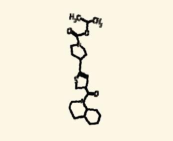 CC(C)OC(=O)N1CCC(C2=CC(C(=O)N3CCCC4CCCCC43)CS2)CC1